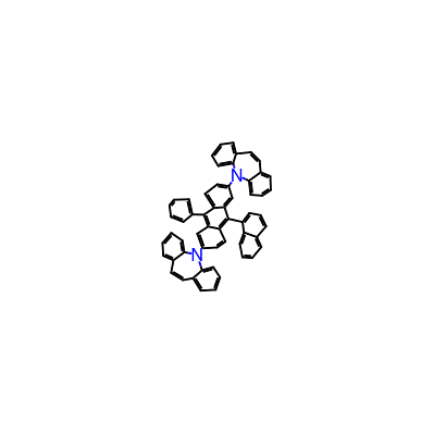 C1=Cc2ccccc2N(c2ccc3c(-c4cccc5ccccc45)c4cc(N5c6ccccc6C=Cc6ccccc65)ccc4c(-c4ccccc4)c3c2)c2ccccc21